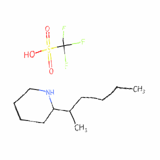 CCCCC(C)C1CCCCN1.O=S(=O)(O)C(F)(F)F